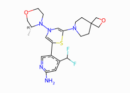 C[C@@H]1COCCN1N1C=C(c2cnc(N)cc2C(F)F)SC(N2CCC3(CC2)COC3)=C1